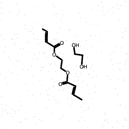 C/C=C/C(=O)OCCOC(=O)/C=C/C.OCCO